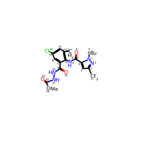 CCCCn1nc(C(F)(F)F)cc1C(=O)Nc1c(C)cc(Cl)cc1C(=O)NNC(=O)OC